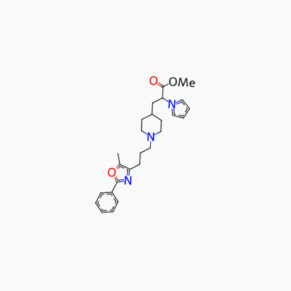 COC(=O)C(CC1CCN(CCCc2nc(-c3ccccc3)oc2C)CC1)n1cccc1